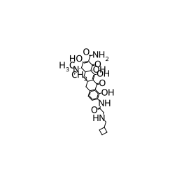 CN(C)[C@@H]1C(O)=C(C(N)=O)C(=O)[C@@]2(O)C(O)=C3C(=O)c4c(ccc(NC(=O)CNCC5CCC5)c4O)CC3CC12